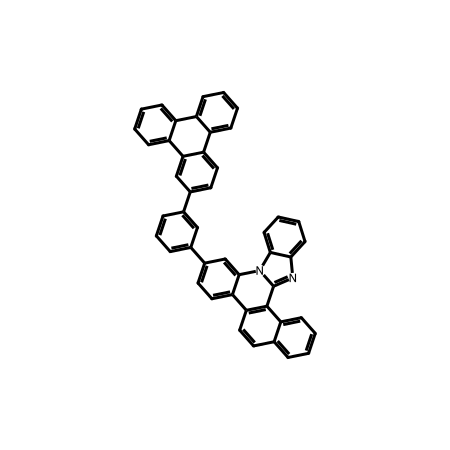 c1cc(-c2ccc3c4ccccc4c4ccccc4c3c2)cc(-c2ccc3c4ccc5ccccc5c4c4nc5ccccc5n4c3c2)c1